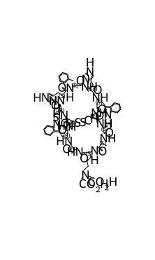 C[C@@H]1NC(=O)[C@H](C)NC(=O)[C@@H]2CSS[C@H](NC(=O)[C@H](Cc3c[nH]c4ccccc34)NC(=O)[C@H](C)NC(=O)[C@H](CCCCN(CC(=O)O)CC(=O)O)NC1=O)C(=O)N1CSC[C@H]1C(=O)N[C@@H](Cc1c[nH]cn1)C(=O)N[C@H](Cc1ccccc1)C(=O)N[C@@H](Cc1c[nH]cn1)C(=O)N[C@@H](Cc1c[nH]c3ccccc13)C(=O)N2